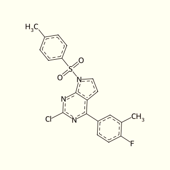 Cc1ccc(S(=O)(=O)n2ccc3c(-c4ccc(F)c(C)c4)nc(Cl)nc32)cc1